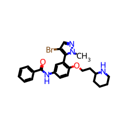 Cn1ncc(Br)c1-c1cc(NC(=O)c2ccccc2)ccc1OCCC1CCCCN1